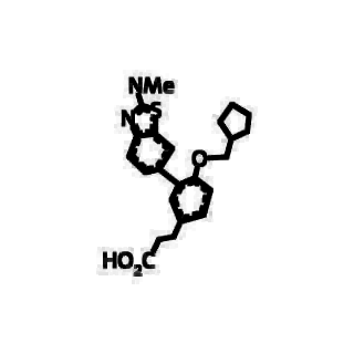 CNc1nc2ccc(-c3cc(CCC(=O)O)ccc3OCC3CCCC3)cc2s1